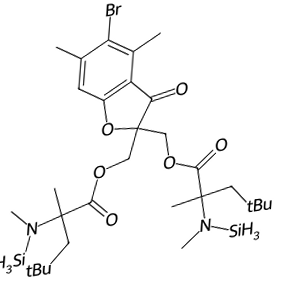 Cc1cc2c(c(C)c1Br)C(=O)C(COC(=O)C(C)(CC(C)(C)C)N(C)[SiH3])(COC(=O)C(C)(CC(C)(C)C)N(C)[SiH3])O2